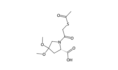 COC1(OC)C[C@@H](C(=O)O)N(C(=O)CSC(C)=O)C1